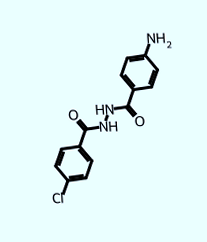 Nc1ccc(C(=O)NNC(=O)c2ccc(Cl)cc2)cc1